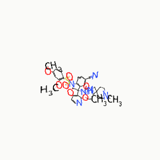 CCOc1ncccc1C1(NC(=O)N2CC3(CCN(C)CC3)C2)C(=O)N(S(=O)(=O)c2ccc(OC)cc2OC)c2ccc(C#N)cc21